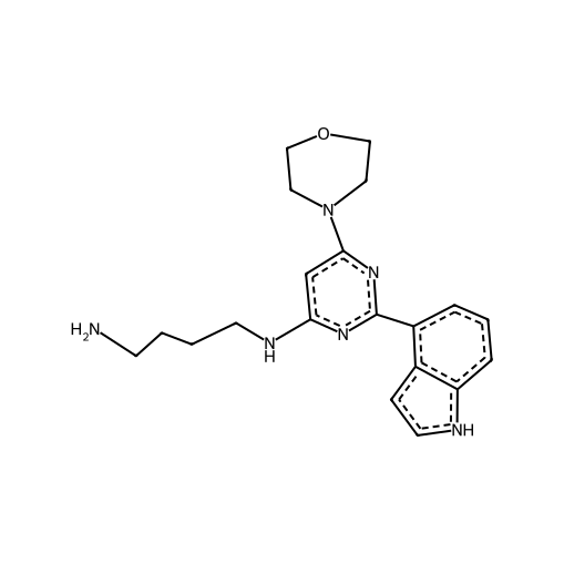 NCCCCNc1cc(N2CCOCC2)nc(-c2cccc3[nH]ccc23)n1